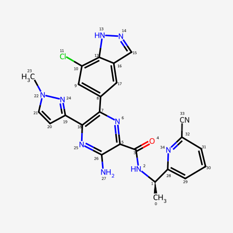 C[C@@H](NC(=O)c1nc(-c2cc(Cl)c3[nH]ncc3c2)c(-c2ccn(C)n2)nc1N)c1cccc(C#N)n1